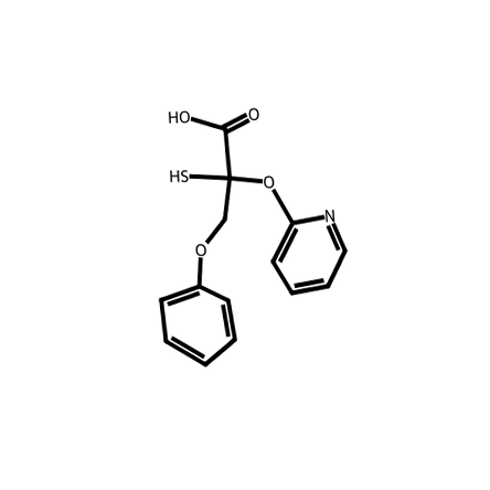 O=C(O)C(S)(COc1ccccc1)Oc1ccccn1